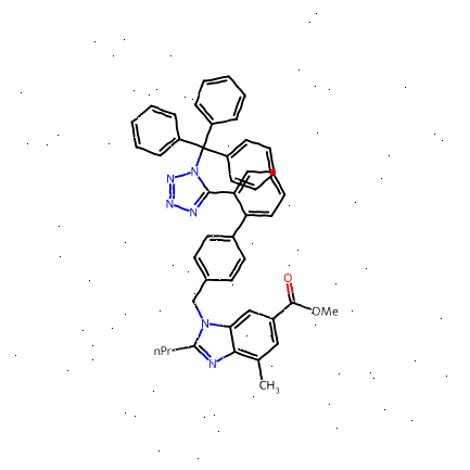 CCCc1nc2c(C)cc(C(=O)OC)cc2n1Cc1ccc(-c2ccccc2-c2nnnn2C(c2ccccc2)(c2ccccc2)c2ccccc2)cc1